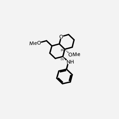 COCC1CC[C@H](Nc2ccccc2)[C@]2(OC)CCCOC12